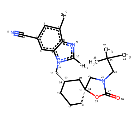 [2H]c1cc(C#N)cc2c1nc([2H])n2C[C@H]1CCC[C@]2(C1)CN(CC(C)(C)C)C(=O)O2